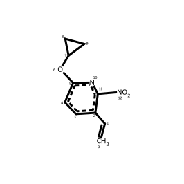 C=Cc1ccc(OC2CC2)nc1[N+](=O)[O-]